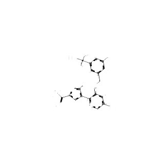 Cc1sc(C(N)=O)cc1-c1ncc(F)cc1OCc1cc(F)cc(C(C)(C)O)c1